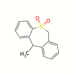 CC1c2ccccc2CS(=O)(=O)c2ccccc21